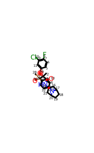 CC(C)(Oc1ccc(F)c(Cl)c1)C(=O)NC1CC2CCC(C1)N2c1ccc(S(C)(=O)=O)cc1